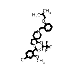 COc1cc(Cl)ccc1C(=O)N1CCC2(CCN(Cc3ccccc3OCC(C)C)CC2)C1OC(=O)C(F)(F)F